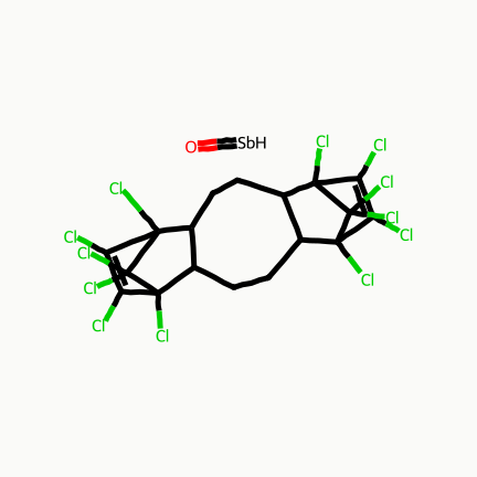 ClC1=C(Cl)C2(Cl)C3CCC4C(CCC3C1(Cl)C2(Cl)Cl)C1(Cl)C(Cl)=C(Cl)C4(Cl)C1(Cl)Cl.[O]=[SbH]